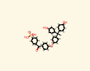 CC(c1ccc(O)cc1)(c1ccc(O)cc1)c1ccc(Oc2ccc(C(=O)c3ccc(P(=O)(O)O)cc3)cc2)cc1